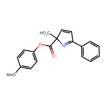 COc1ccc(OC(=O)C2(C(=O)O)C=CC(c3ccccc3)=N2)cc1